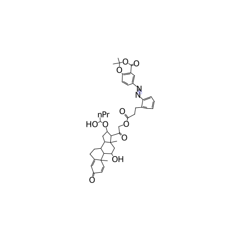 CCCC(O)OC1CC2C3CCC4=CC(=O)C=CC4(C)C3C(O)CC2(C)C1C(=O)COC(=O)CCc1ccccc1/N=N/c1ccc2c(c1)C(=O)OC(C)(C)O2